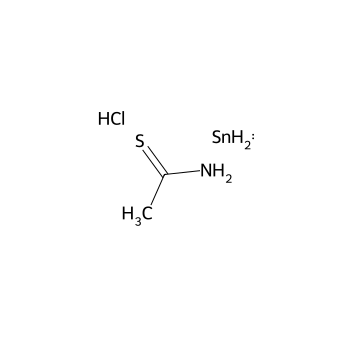 CC(N)=S.Cl.[SnH2]